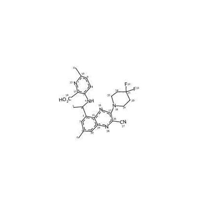 Cc1cc(C(C)Nc2ccc(C)nc2C(=O)O)c2nc(N3CCC(F)(F)CC3)c(C#N)nc2c1